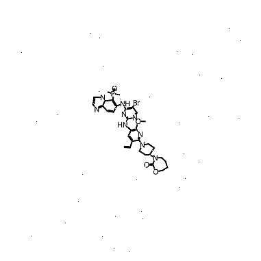 C=Cc1cc(Nc2ncc(Br)c(Nc3ccc4nccnc4c3P(C)(C)=O)n2)c(OC)nc1N1CCC(N2CCCCOC2=O)CC1